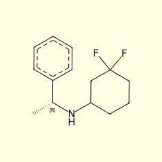 C[C@@H](NC1CCCC(F)(F)C1)c1ccccc1